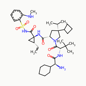 C=C[C@@H]1C[C@]1(NC(=O)[C@@H]1C[C@@](C(C)C)(C2CCC2)CN1C(=O)[C@@H](NC(=O)[C@@H](N)C1CCCCC1)C(C)(C)C)C(=O)NS(=O)(=O)c1ccccc1NC